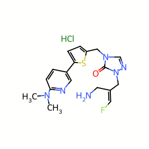 CN(C)c1ccc(-c2ccc(Cn3cnn(C/C(=C/F)CN)c3=O)s2)cn1.Cl